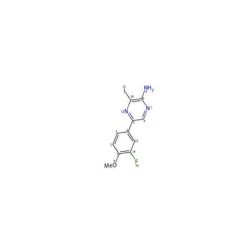 COc1ccc(-c2cnc(N)c(I)n2)cc1F